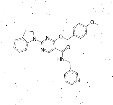 COc1ccc(COc2nc(N3CCc4ccccc43)ncc2C(=O)NCc2cccnc2)cc1